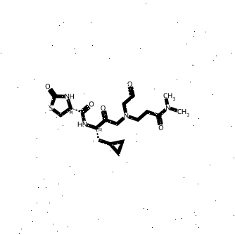 CN(C)C(=O)CCN(CC=O)CC(=O)[C@H](CC1CC1)NC(=O)[C@@H]1CSC(=O)N1